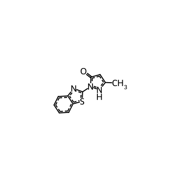 Cc1cc(=O)n(-c2nc3ccccc3s2)[nH]1